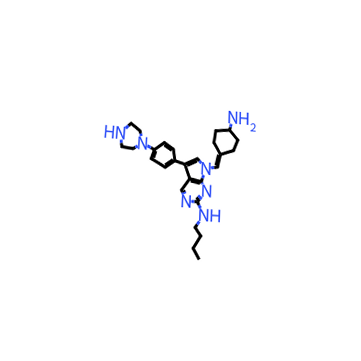 CCCCNc1ncc2c(-c3ccc(N4CCNCC4)cc3)cn(C=C3CCC(N)CC3)c2n1